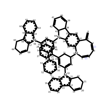 C=C1/C=C\C=C/N(C2C=C(n3c4c(c5ccccc53)C=CCC4)C=C(c3ccccc3)C2)c2cc3c(cc21)C1C=CC=CC1N3c1cc(-c2ccccc2)cc(-n2c3c(c4ccccc42)CCC=C3)c1